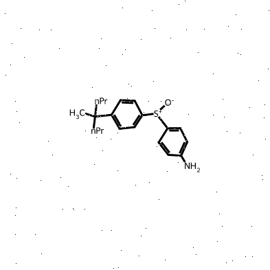 CCCC(C)(CCC)c1ccc([S+]([O-])c2ccc(N)cc2)cc1